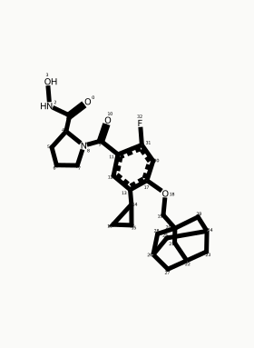 O=C(NO)C1CCCN1C(=O)c1cc(C2CC2)c(OCC23CC4CC(CC(C4)C2)C3)cc1F